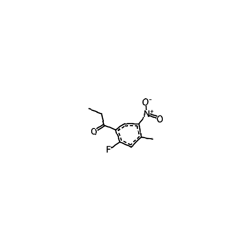 CCC(=O)c1cc([N+](=O)[O-])c(C)cc1F